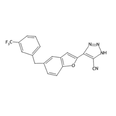 N#Cc1[nH]nnc1-c1cc2cc(Cc3cccc(C(F)(F)F)c3)ccc2o1